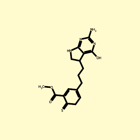 COC(=O)C1=CC(CCCC2CNc3nc(N)nc(O)c32)=CCC1=S